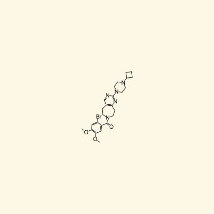 COc1cc(Br)c(C(=O)N2CCc3cnc(N4CCN(C5CCC5)CC4)nc3CC2)cc1OC